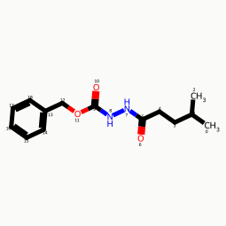 CC(C)CCC(=O)NNC(=O)OCc1ccccc1